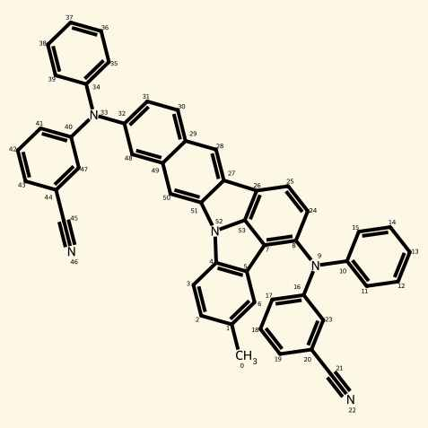 Cc1ccc2c(c1)c1c(N(c3ccccc3)c3cccc(C#N)c3)ccc3c4cc5ccc(N(c6ccccc6)c6cccc(C#N)c6)cc5cc4n2c31